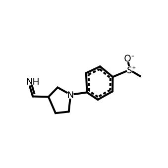 C[S+]([O-])c1ccc(N2CCC(C=N)C2)cc1